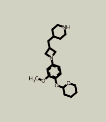 COc1cc(N2CC(CC3CCNCC3)C2)ccc1OC1CCCCO1